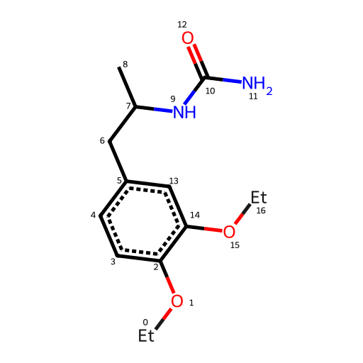 CCOc1ccc(CC(C)NC(N)=O)cc1OCC